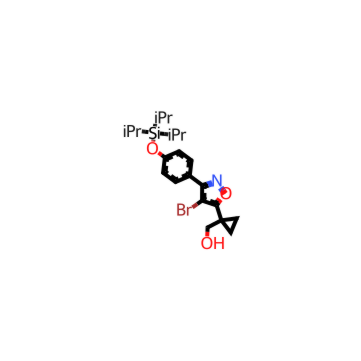 CC(C)[Si](Oc1ccc(-c2noc(C3(CO)CC3)c2Br)cc1)(C(C)C)C(C)C